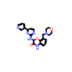 O=C1Nc2cccc(CN3CCOCC3)c2OC1Nc1nccc(-c2cccnc2)n1